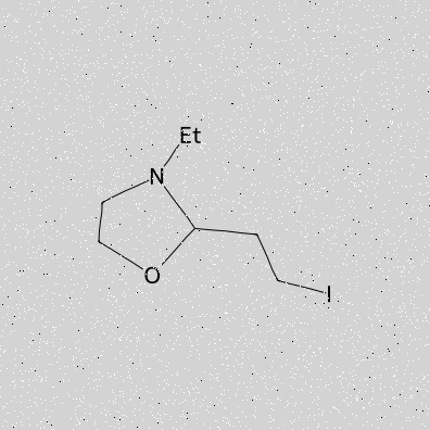 CCN1CCOC1CCI